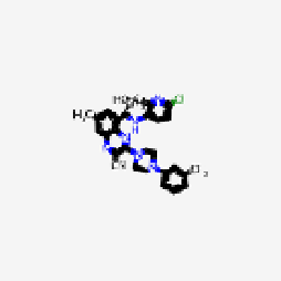 Cc1cc([C@@H](C)Nc2ccc(Cl)nc2C(=O)O)c2nc(N3CCN(c4cccc(C(F)(F)F)c4)CC3)c(C#N)nc2c1